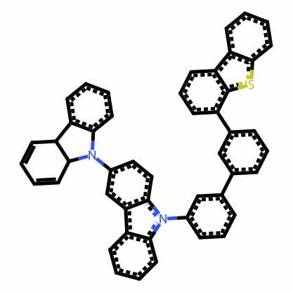 C1=CC2c3ccccc3N(c3ccc4c(c3)c3ccccc3n4-c3cccc(-c4cccc(-c5cccc6c5sc5ccccc56)c4)c3)C2C=C1